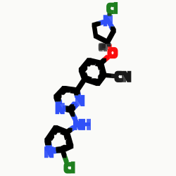 N#Cc1cc(-c2ccnc(Nc3ccnc(Cl)c3)n2)ccc1O[C@@H]1CCN(Cl)C1